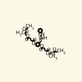 C=CC(=O)OCC(C)OC(=O)CCC(=O)Oc1ccc(OC(=O)CCC(=O)OCC(C)OC(=O)C=C)cc1/C=N/Nc1nc2ccccc2s1